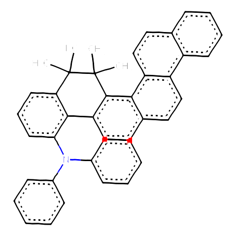 CC1(C)c2cccc(N(c3ccccc3)c3ccccc3)c2-c2ccc3ccc4c5ccccc5ccc4c3c2C1(C)C